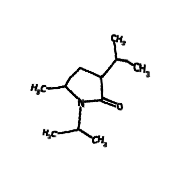 CC(C)C1CC(C)N(C(C)C)C1=O